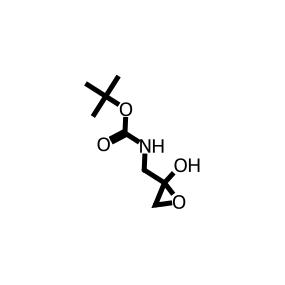 CC(C)(C)OC(=O)NCC1(O)CO1